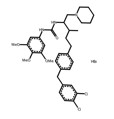 Br.COc1cc(NC(=O)NC(CN2CCCCC2)C(C)CCc2ccc(Cc3ccc(Cl)c(Cl)c3)cc2)cc(OC)c1OC